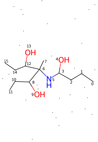 CCCC(O)NC(C)(C(O)CC)C(O)CC